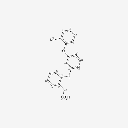 N#Cc1ccccc1Oc1cc(Oc2ccccc2CC(=O)O)ncn1